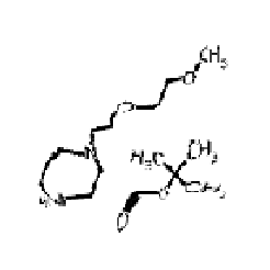 CC(C)(C)OC=O.COCCOCCN1CCNCC1